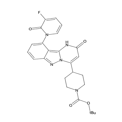 CC(C)(C)OC(=O)N1CCC(c2cc(=O)[nH]c3c4c(-n5cccc(F)c5=O)cccc4nn23)CC1